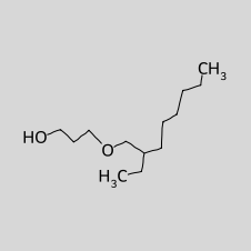 CCCCCCC(CC)COCCCO